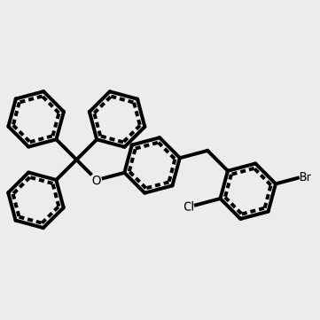 Clc1ccc(Br)cc1Cc1ccc(OC(c2ccccc2)(c2ccccc2)c2ccccc2)cc1